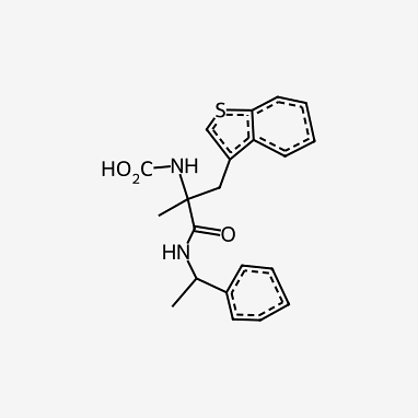 CC(NC(=O)C(C)(Cc1csc2ccccc12)NC(=O)O)c1ccccc1